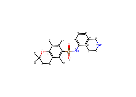 Cc1c(C)c(S(=O)(=O)Nc2cccc3c2CCNC3)c(C)c2c1OC(C)(C)CC2